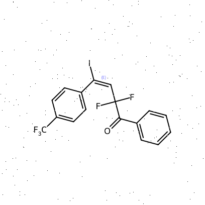 O=C(c1ccccc1)C(F)(F)/C=C(/I)c1ccc(C(F)(F)F)cc1